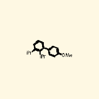 COc1ccc(-c2cccc(C(C)C)c2C(C)C)cc1